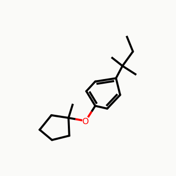 CCC(C)(C)c1ccc(OC2(C)CCCC2)cc1